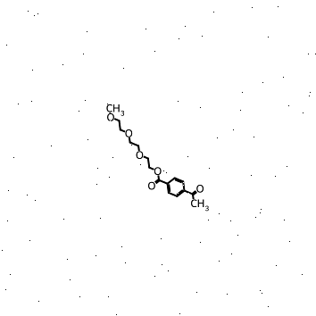 COCCOCCOCCOC(=O)c1ccc(C(C)=O)cc1